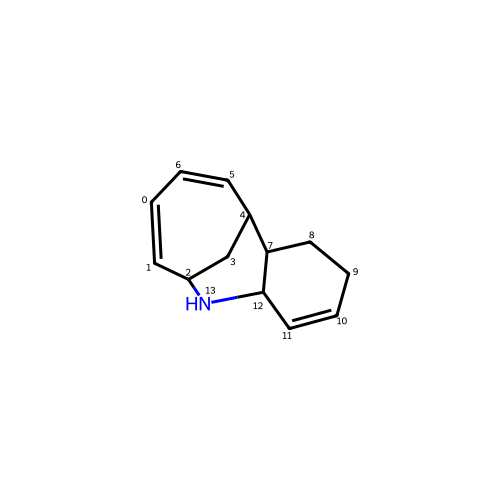 C1=CC2CC(C=C1)C1CCC=CC1N2